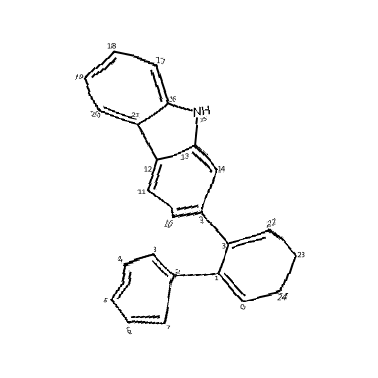 C1=C(c2ccccc2)C(c2ccc3c(c2)[nH]c2ccccc23)=CCC1